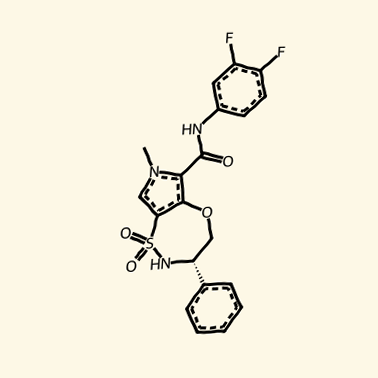 Cn1cc2c(c1C(=O)Nc1ccc(F)c(F)c1)OC[C@H](c1ccccc1)NS2(=O)=O